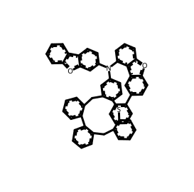 c1ccc(-c2ccc3oc4cccc(N(c5ccc6c(c5)Cc5ccccc5-c5ccccc5Cc5ccccc5S6)c5ccc6c(c5)oc5ccccc56)c4c3c2)cc1